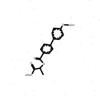 CCCCCCCCOc1ccc(-c2ccc(C(=O)OC(C)C(=O)CCCCC)cc2)cc1